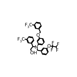 OCC(c1cccc(C(F)(F)F)c1)N(Cc1cccc(OC(F)(F)C(F)F)c1)c1cccc(OCc2cccc(C(F)(F)F)c2)c1